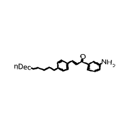 CCCCCCCCCCCCCCCc1ccc(C=CC(=O)c2cccc(N)c2)cc1